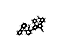 N#CC1=C(c2cccc(-c3ccccc3-n3c4ccc(C#N)cc4c4cccc(C#N)c43)c2)C=CCC1n1c2ccccc2c2ccccc21